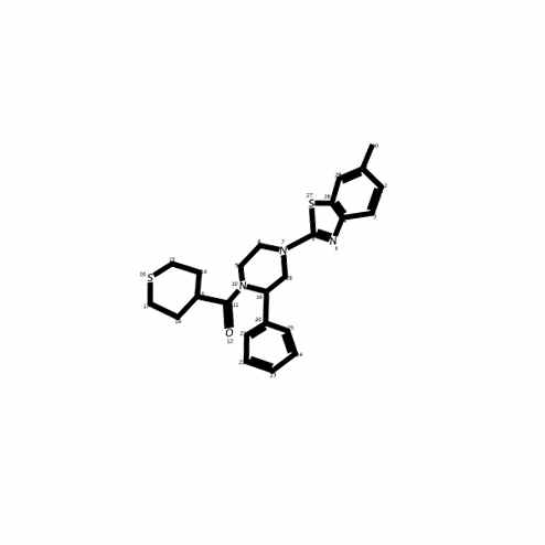 Cc1ccc2nc(N3CCN(C(=O)C4CCSCC4)C(c4ccccc4)C3)sc2c1